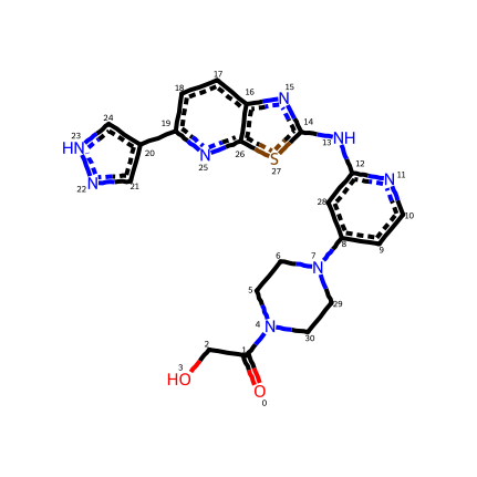 O=C(CO)N1CCN(c2ccnc(Nc3nc4ccc(-c5cn[nH]c5)nc4s3)c2)CC1